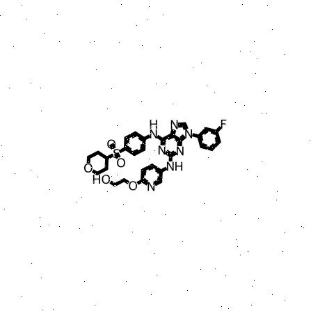 O=S(=O)(c1ccc(Nc2nc(Nc3ccc(OCCO)nc3)nc3c2ncn3-c2cccc(F)c2)cc1)C1CCOCC1